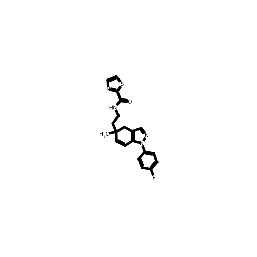 CC1(CCNC(=O)c2nccs2)C=Cc2c(cnn2-c2ccc(F)cc2)C1